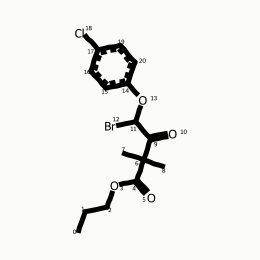 CCCOC(=O)C(C)(C)C(=O)C(Br)Oc1ccc(Cl)cc1